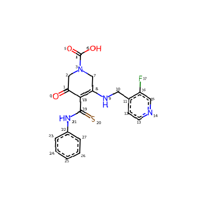 O=C1CN(C(=O)O)CC(NCc2ccncc2F)=C1C(=S)Nc1ccccc1